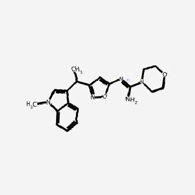 CC(c1cc(/N=C(\N)N2CCOCC2)on1)c1cn(C)c2ccccc12